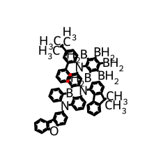 Bc1c(B)c(B)c(N(c2ccc3c(c2)N(c2cccc4c2-c2ccccc2C4(C)C)c2cccc4c2B3c2ccccc2N4c2ccc3oc4ccccc4c3c2)c2ccc(C(C)(C)C)cc2-c2ccccc2)c(B)c1B